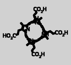 CC1=C(CCC(=O)O)c2cc3nc(cc4[nH]c(cc5[nH]c(cc1n2)c(CCC(=O)O)c5C)c(CCC(=O)O)c4C)C(CCC(=O)O)=C3C